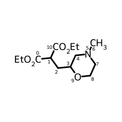 CCOC(=O)C(CC1CN(C)CCO1)C(=O)OCC